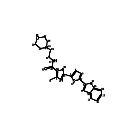 Cc1nc(-c2ccc(-c3cc4ccccc4s3)s2)sc1C(=O)NCCN1CCOCC1